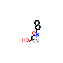 N#C/C(=C\c1nnc(-c2ccc3ccccc3c2)o1)CO